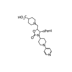 CCCCCC1C(CN2CCC(C(=O)O)CC2)OC(=O)N1C1CCN(c2ccncc2)CC1